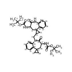 CC(C)(C)OC(=O)NC1CC2(CC2CN2C(=O)C(NC(=O)OC(C)(C)C)CC3(CC3)c3cccnc32)c2cccnc2NC1=O